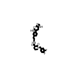 O=C1Nc2cc(/C=C/CNC(=O)C3CCCN(Cc4ccc(F)c(F)c4)C3=O)ccc2/C1=C/c1cnc[nH]1